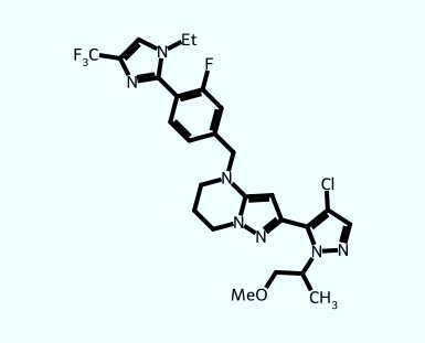 CCn1cc(C(F)(F)F)nc1-c1ccc(CN2CCCn3nc(-c4c(Cl)cnn4C(C)COC)cc32)cc1F